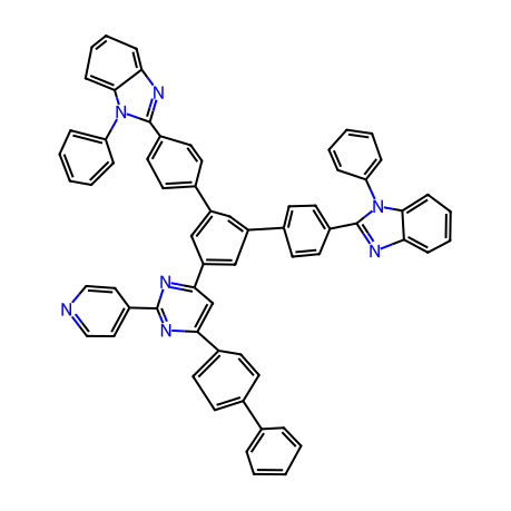 c1ccc(-c2ccc(-c3cc(-c4cc(-c5ccc(-c6nc7ccccc7n6-c6ccccc6)cc5)cc(-c5ccc(-c6nc7ccccc7n6-c6ccccc6)cc5)c4)nc(-c4ccncc4)n3)cc2)cc1